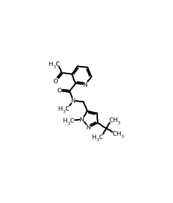 CC(=O)c1cccnc1C(=O)N(C)Cc1cc(C(C)(C)C)nn1C